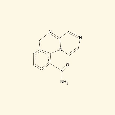 NC(=O)c1cccc2c1N1C=CN=CC1=NC2